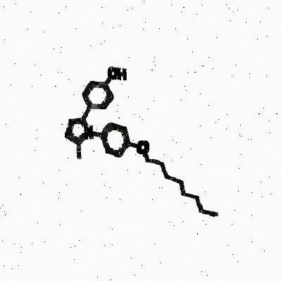 CCCCCCCCOc1ccc(-n2c(C)ccc2-c2ccc(O)cc2)cc1